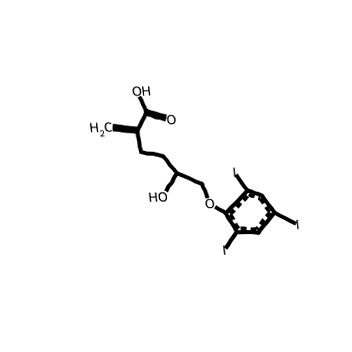 C=C(CCC(O)COc1c(I)cc(I)cc1I)C(=O)O